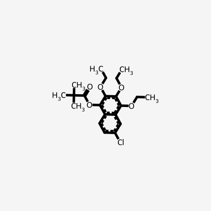 CCOc1c(OCC)c(OC(=O)C(C)(C)C)c2ccc(Cl)cc2c1OCC